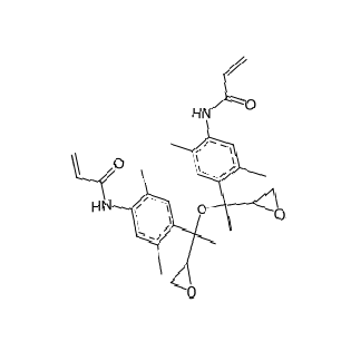 C=CC(=O)Nc1cc(C)c(C(C)(OC(C)(c2cc(C)c(NC(=O)C=C)cc2C)C2CO2)C2CO2)cc1C